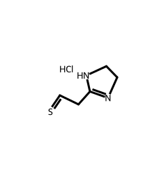 Cl.S=CCC1=NCCN1